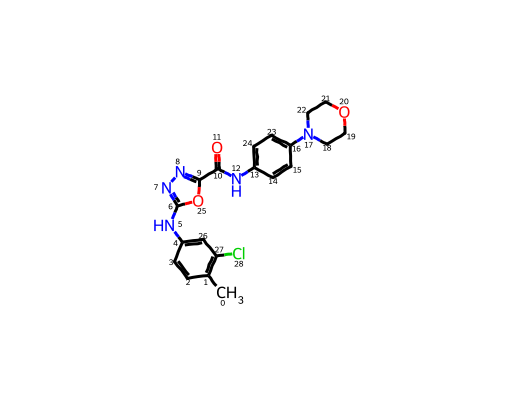 Cc1ccc(Nc2nnc(C(=O)Nc3ccc(N4CCOCC4)cc3)o2)cc1Cl